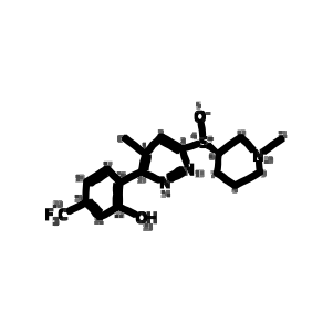 Cc1cc([S+]([O-])[C@@H]2CCCN(C)C2)nnc1-c1ccc(C(F)(F)F)cc1O